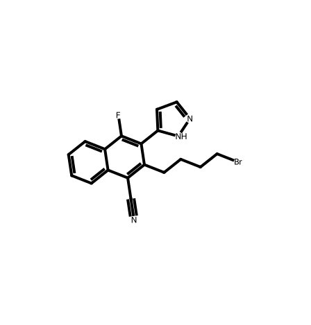 N#Cc1c(CCCCBr)c(-c2ccn[nH]2)c(F)c2ccccc12